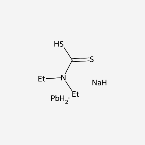 CCN(CC)C(=S)S.[NaH].[PbH2]